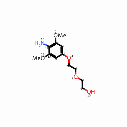 COc1cc(OCCOCCO)cc(OC)c1N